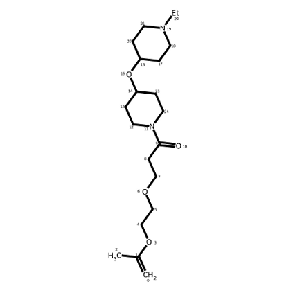 C=C(C)OCCOCCC(=O)N1CCC(OC2CCN(CC)CC2)CC1